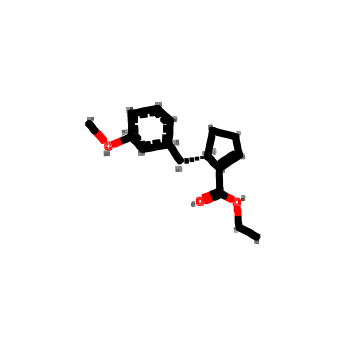 CCOC(=O)C1=CCC[C@H]1Cc1cccc(OC)c1